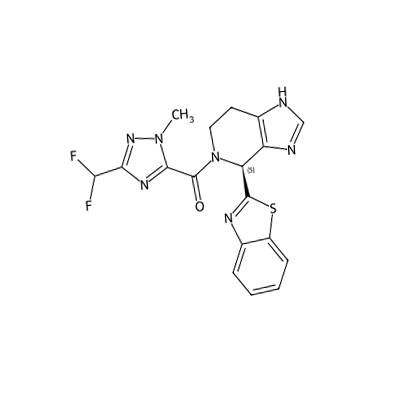 Cn1nc(C(F)F)nc1C(=O)N1CCc2[nH]cnc2[C@H]1c1nc2ccccc2s1